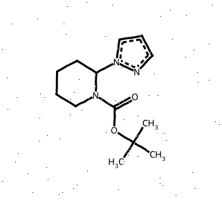 CC(C)(C)OC(=O)N1CCCCC1n1cccn1